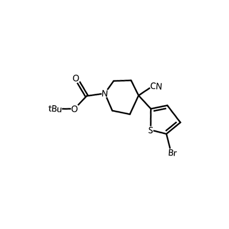 CC(C)(C)OC(=O)N1CCC(C#N)(c2ccc(Br)s2)CC1